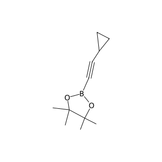 CC1(C)OB(C#CC2CC2)OC1(C)C